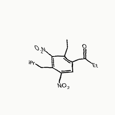 CCC(=O)c1cc([N+](=O)[O-])c(CC(C)C)c([N+](=O)[O-])c1C